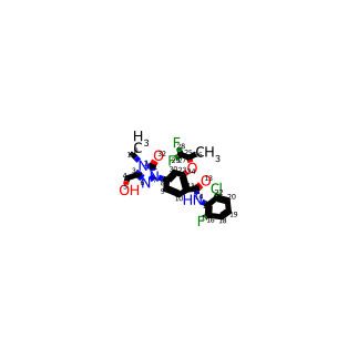 CCn1c(CO)nn(-c2ccc(C(=O)Nc3c(F)cccc3Cl)c(OC(C)C(F)F)c2)c1=O